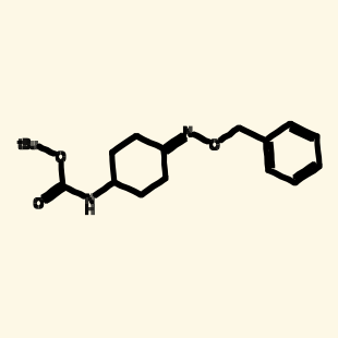 CC(C)(C)OC(=O)NC1CCC(=NOCc2ccccc2)CC1